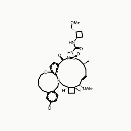 COC[C@@H]1CC[C@H]1NC(=O)N[S@@]1(=O)=NC(=O)c2ccc3c(c2)N(Cc2ccc(Cl)cc2CCCCO3)C[C@@H]2CC[C@H]2[C@@H](OC)/C=C/C[C@H](C)C1